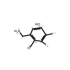 Cl.NCc1ccc(I)c(F)c1Cl